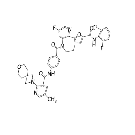 Cc1cnc(N2CC3(CCOCC3)C2)c(C(=O)Nc2ccc(C(=O)N3CCc4cc(C(=O)Nc5c(F)cccc5Cl)oc4-c4ncc(F)cc43)cc2)c1